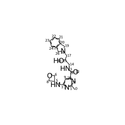 Cc1nc(NC2COC2)cc(C(=O)NCC(O)CN2Cc3ccccc3C2)n1